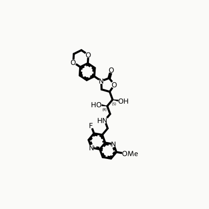 COc1ccc2ncc(F)c(CNC[C@@H](O)[C@H](O)C3CN(c4ccc5c(c4)OCCO5)C(=O)O3)c2n1